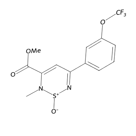 COC(=O)C1=CC(c2cccc(OC(F)(F)F)c2)=N[S+]([O-])N1C